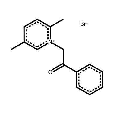 Cc1ccc(C)[n+](CC(=O)c2ccccc2)c1.[Br-]